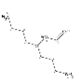 NCCCC(CCCN)NC=O